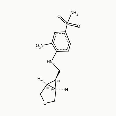 NS(=O)(=O)c1ccc(NC[C@H]2[C@H]3COC[C@@H]23)c([N+](=O)[O-])c1